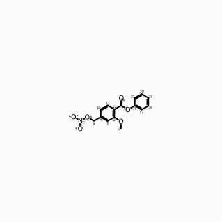 COc1cc(CO[N+](=O)[O-])ccc1C(=O)Oc1ccccc1